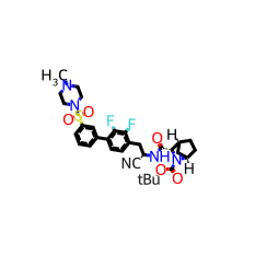 CN1CCN(S(=O)(=O)c2cccc(-c3ccc(C[C@@H](C#N)NC(=O)[C@@H]4[C@H]5CC[C@H](C5)N4C(=O)OC(C)(C)C)c(F)c3F)c2)CC1